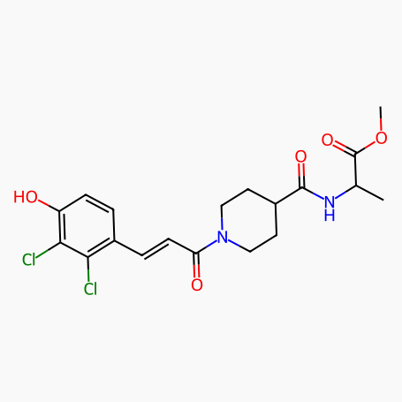 COC(=O)C(C)NC(=O)C1CCN(C(=O)C=Cc2ccc(O)c(Cl)c2Cl)CC1